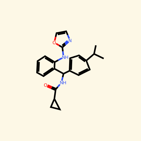 CC(C)c1ccc(C(NC(=O)C2CC2)c2ccccc2Nc2ncco2)cc1